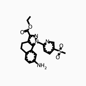 CCOC(=O)c1nn(-c2ccc(S(C)(=O)=O)cn2)c2c1CCc1ccc(N)cc1-2